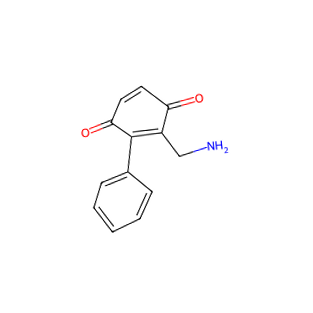 NCC1=C(c2ccccc2)C(=O)C=CC1=O